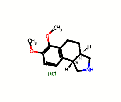 COc1ccc2c(c1OC)CC[C@H]1CNC[C@H]21.Cl